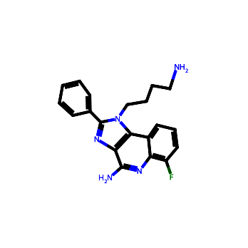 NCCCCn1c(-c2ccccc2)nc2c(N)nc3c(F)cccc3c21